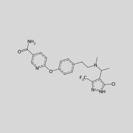 CC(c1c(C(F)(F)F)n[nH]c1Cl)N(C)CCc1ccc(Oc2ccc(C(N)=O)cn2)cc1